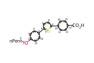 CCCCCOc1ccc(-c2ccc(-c3ccc(C(=O)O)cc3)s2)cc1